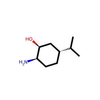 CC(C)[C@@H]1CC[C@@H](N)[C@@H](O)C1